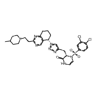 CC1CCN(CCc2ncc3c(n2)CCC[C@@H]3n2cc(C[C@@H]3C(=O)NC=CN3S(=O)(=O)c3ccc(Cl)c(Cl)c3)nn2)CC1